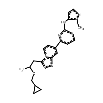 CC(Cc1nnc2cc(-c3ccnc(Nc4ccnn4C)n3)ccn12)OCC1CC1